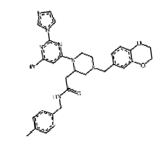 Cc1ccc(CNC(=O)CC2CN(Cc3ccc4c(c3)OCCO4)CCN2c2cc(C(C)C)nc(-n3ccnc3)n2)cc1